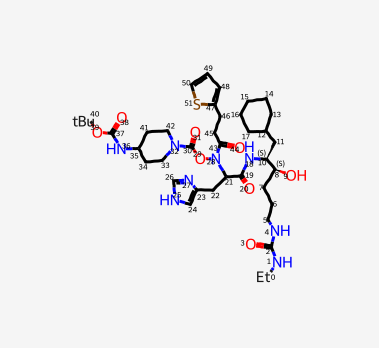 CCNC(=O)NCCC[C@H](O)[C@H](CC1CCCCC1)NC(=O)C(Cc1c[nH]cn1)N(OC(=O)N1CCC(NC(=O)OC(C)(C)C)CC1)C(=O)CCc1cccs1